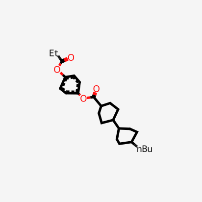 CCCCC1CCC(C2CCC(C(=O)Oc3ccc(OC(=O)CC)cc3)CC2)CC1